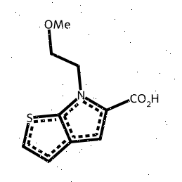 COCCn1c(C(=O)O)cc2ccsc21